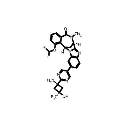 CN1C(=O)c2cccc(OC(F)F)c2[C@@H]2C[C@@H]1c1nc3ccc(-c4cnc([C@]5(N)C[C@](O)(C(F)(F)F)C5)nc4)cc3n12